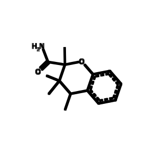 CC1c2ccccc2OC(C)(C(N)=O)C1(C)C